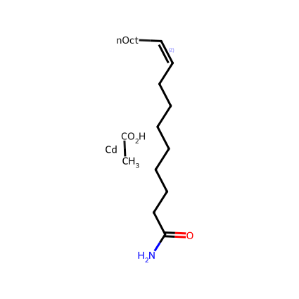 CC(=O)O.CCCCCCCC/C=C\CCCCCCCC(N)=O.[Cd]